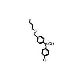 CCCCOCc1ccc(B(O)c2ccc(Cl)cc2)cc1